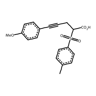 COc1ccc(C#CCC(C(=O)O)S(=O)(=O)c2ccc(C)cc2)cc1